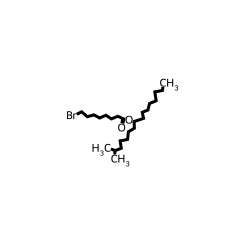 CCCCCCCCC(CCCCCC(C)C)OC(=O)CCCCCCCBr